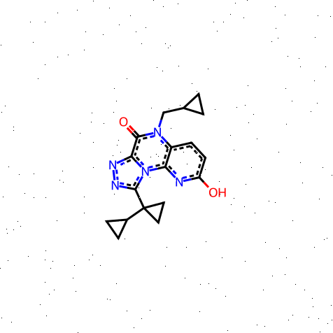 O=c1c2nnc(C3(C4CC4)CC3)n2c2nc(O)ccc2n1CC1CC1